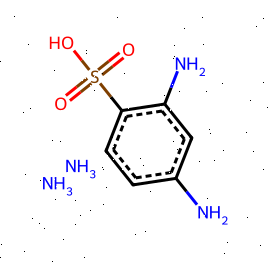 N.N.Nc1ccc(S(=O)(=O)O)c(N)c1